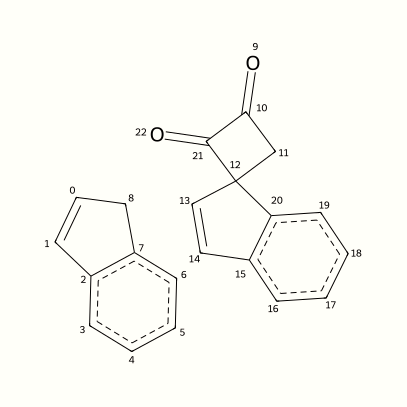 C1=Cc2ccccc2C1.O=C1CC2(C=Cc3ccccc32)C1=O